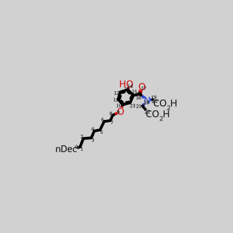 CCCCCCCCCCCCCCCCCCOc1ccc(O)c(C(=O)N(CC(=O)O)CC(=O)O)c1